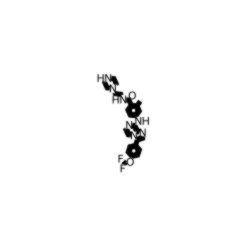 Cc1cc(Nc2nccn3c(-c4ccc(OC(F)F)cc4)cnc23)ccc1C(=O)NCCN1CCNCC1